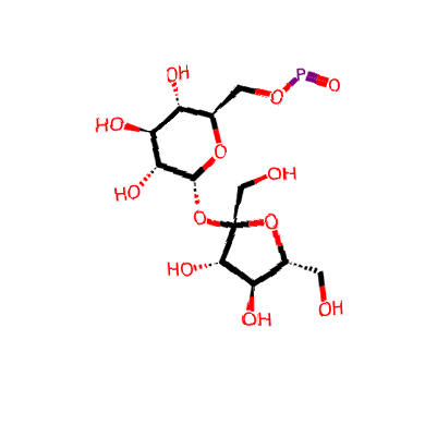 O=POC[C@H]1O[C@H](O[C@]2(CO)O[C@H](CO)[C@@H](O)[C@@H]2O)[C@H](O)[C@@H](O)[C@@H]1O